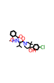 COc1ccccc1C(=O)N[C@@H](C(=O)N1CC[C@](O)(c2ccc(Cl)cc2)C(C)(C)C1)C(C)C